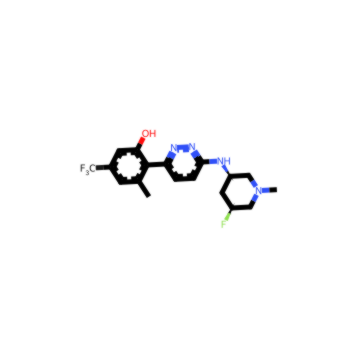 Cc1cc(C(F)(F)F)cc(O)c1-c1ccc(N[C@@H]2C[C@H](F)CN(C)C2)nn1